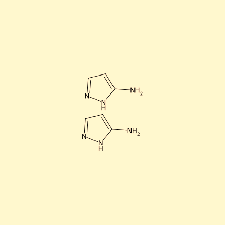 Nc1ccn[nH]1.Nc1ccn[nH]1